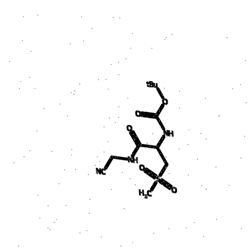 CC(C)(C)OC(=O)NC(CS(C)(=O)=O)C(=O)NCC#N